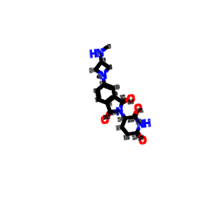 CNC1CN(c2ccc3c(c2)C(=O)N(C2CCC(=O)NC2=O)C3=O)C1